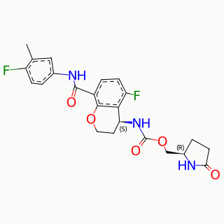 Cc1cc(NC(=O)c2ccc(F)c3c2OCC[C@@H]3NC(=O)OC[C@H]2CCC(=O)N2)ccc1F